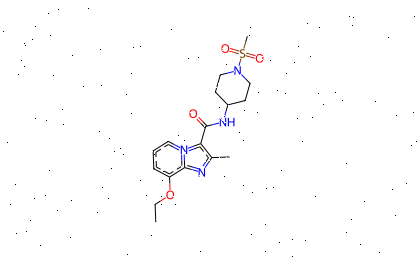 CCOc1cccn2c(C(=O)NC3CCN(S(C)(=O)=O)CC3)c(C)nc12